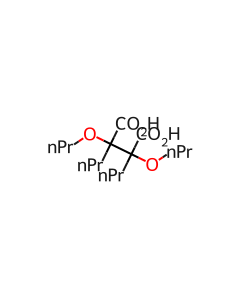 CCCOC(CCC)(C(=O)O)C(CCC)(OCCC)C(=O)O